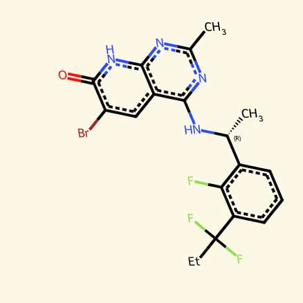 CCC(F)(F)c1cccc([C@@H](C)Nc2nc(C)nc3[nH]c(=O)c(Br)cc23)c1F